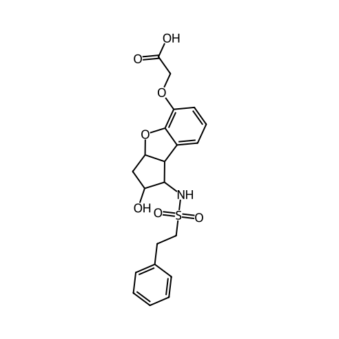 O=C(O)COc1cccc2c1OC1CC(O)C(NS(=O)(=O)CCc3ccccc3)C21